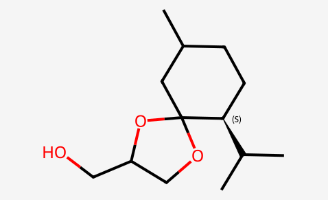 CC1CC[C@@H](C(C)C)C2(C1)OCC(CO)O2